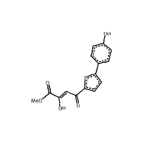 COC(=O)/C(O)=C/C(=O)c1ccc(-c2ccc(O)cc2)s1